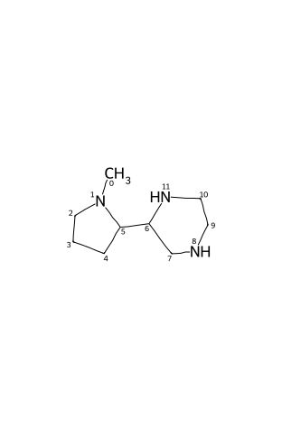 CN1CCCC1C1CNCCN1